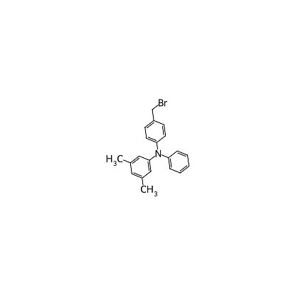 Cc1cc(C)cc(N(c2ccccc2)c2ccc(CBr)cc2)c1